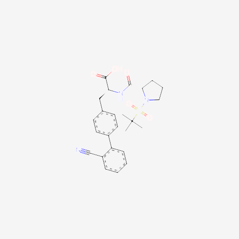 CC(C)(C)S(=O)(=O)N1CCC[C@H]1C(=O)N[C@@H](Cc1ccc(-c2ccccc2C#N)cc1)C(=O)O